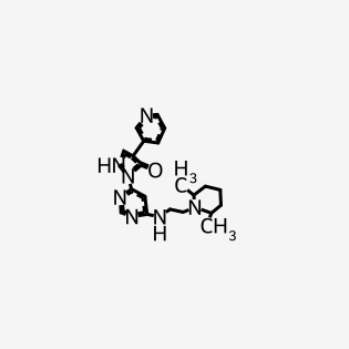 CC1CCCC(C)N1CCNc1cc(-n2[nH]cc(-c3cccnc3)c2=O)ncn1